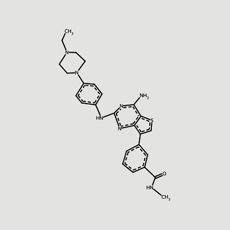 CCN1CCN(c2ccc(Nc3nc(N)c4scc(-c5cccc(C(=O)NC)c5)c4n3)cc2)CC1